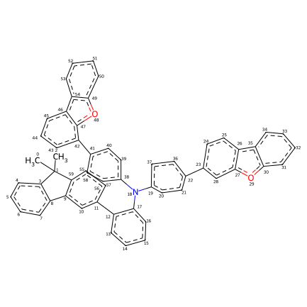 CC1(C)c2ccccc2-c2cc(-c3ccccc3N(c3ccc(-c4ccc5c(c4)oc4ccccc45)cc3)c3ccc(-c4cccc5c4oc4ccccc45)cc3)ccc21